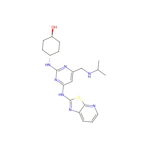 CC(C)NCc1cc(Nc2nc3cccnc3s2)nc(N[C@H]2CC[C@H](O)CC2)n1